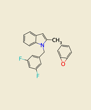 Cc1cc2ccccc2n1Cc1cc(F)cc(F)c1.c1ccc2c(c1)O2